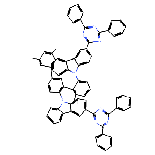 N#Cc1cccc(-n2c3ccccc3c3cc(-c4nc(-c5ccccc5)nc(-c5ccccc5)n4)ccc32)c1-c1cc(-c2cc(C(F)(F)F)cc(C(F)(F)F)c2)ccc1-n1c2ccccc2c2cc(-c3nc(-c4ccccc4)nc(-c4ccccc4)n3)ccc21